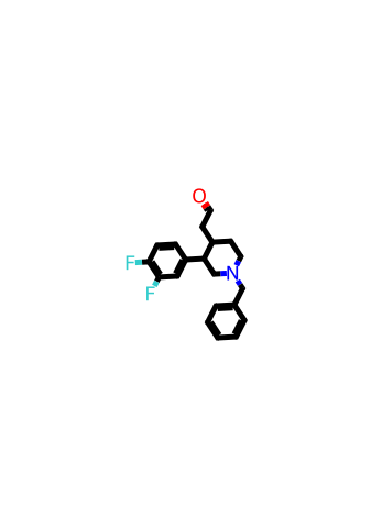 O=CCC1CCN(Cc2ccccc2)CC1c1ccc(F)c(F)c1